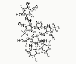 [C-]#[N+]c1c(C(C)(C)C)nn(-c2nnc(-n3nc(C(C)(C)C)c(C#N)c3N=Nc3c(C)cc(N(CC(=O)O)c4c(C)cc(C)cc4C)nc3Nc3c(C)cc(C)cc3C)s2)c1N=Nc1c(C)c(C#N)c(=O)n(C)c1O